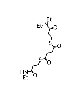 CCNC(=O)CCSC(=O)CCC(=O)SCCC(=O)N(CC)CC